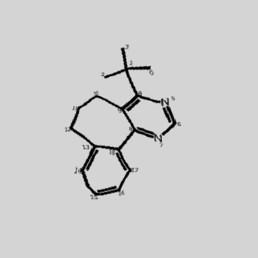 CC(C)(C)c1ncnc2c1CCCc1ccccc1-2